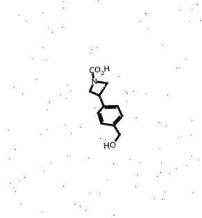 O=C(O)N1CC(c2ccc(CO)cc2)C1